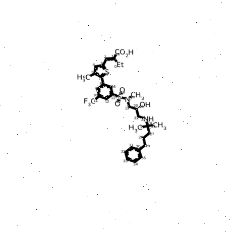 CCC(=Cc1cc(C)c(-c2cc(C(F)(F)F)cc(S(=O)(=O)N(C)C[C@H](O)CNC(C)(C)CCCc3ccccc3)c2)s1)C(=O)O